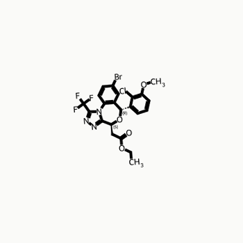 CCOC(=O)C[C@@H]1O[C@@H](c2cccc(OC)c2Cl)c2cc(Br)ccc2-n2c1nnc2C(F)(F)F